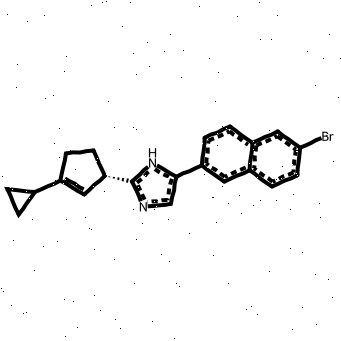 Brc1ccc2cc(-c3cnc([C@@H]4C=C(C5CC5)CC4)[nH]3)ccc2c1